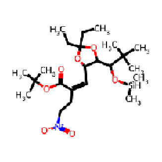 CCC1(CC)OC(C=C(CC[N+](=O)[O-])C(=O)OC(C)(C)C)C(C(O[SiH](C)C)C(C)(C)C)O1